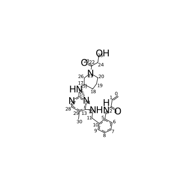 C=CC(=O)Nc1ccccc1CNc1nc(N[C@H]2CCCN(C(=O)CO)C2)ncc1C